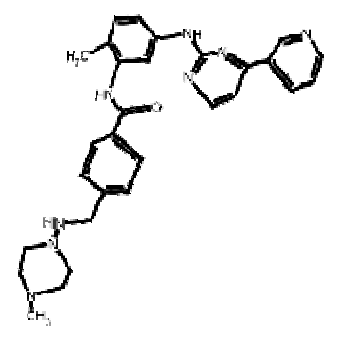 Cc1ccc(Nc2nccc(-c3cccnc3)n2)cc1NC(=O)c1ccc(CNN2CCN(C)CC2)cc1